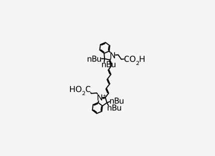 CCCCC1(CCCC)C(/C=C/C=C/C=C/C=C2/N(CCC(=O)O)c3ccccc3C2(CCCC)CCCC)=[N+](CCC(=O)O)c2ccccc21